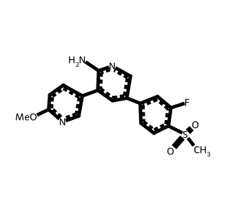 COc1ccc(-c2cc(-c3ccc(S(C)(=O)=O)c(F)c3)cnc2N)cn1